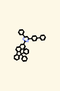 c1ccc(-c2ccc(-c3cc(-c4ccccc4)nc(-c4ccc5c6c(ccc5c4)-c4ccccc4C6(c4ccccc4)c4ccccc4)n3)cc2)cc1